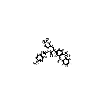 COc1ccc2nc(NC(=O)C(CC3CCS(=O)(=O)C3)c3ccc4c(c3)N(C)c3ccccc3S4(=O)=O)sc2n1